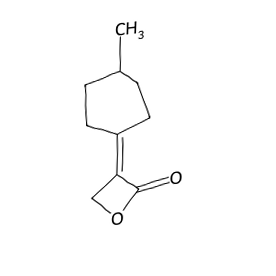 CC1CCC(=C2COC2=O)CC1